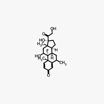 CC1C[C@H]2[C@@H]3CC[C@](O)(C(=O)CO)[C@@]3(C)CC(O)[C@]2(F)[C@@]2(C)C=CC(=O)C=C12